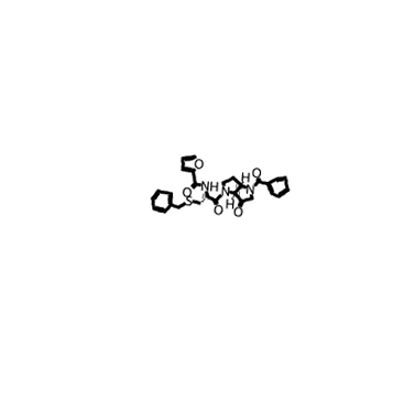 O=C(N[C@@H](CSCc1ccccc1)C(=O)N1CC[C@@H]2[C@H]1C(=O)CN2C(=O)c1ccccc1)c1ccco1